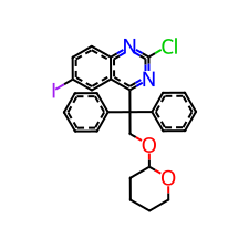 Clc1nc(C(COC2CCCCO2)(c2ccccc2)c2ccccc2)c2cc(I)ccc2n1